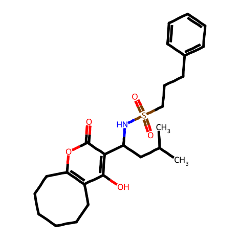 CC(C)CC(NS(=O)(=O)CCCc1ccccc1)c1c(O)c2c(oc1=O)CCCCCC2